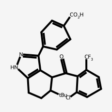 CC(C)(C)C1CCc2[nH]nc(-c3ccc(C(=O)O)cc3)c2C1C(=O)c1c(Cl)cccc1C(F)(F)F